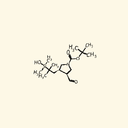 CC(C)(C)OC(=O)N1C[C@H](CC(C)(C)[Si](C)(C)O)[C@H](C=O)C1